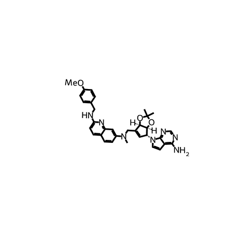 COc1ccc(CNc2ccc3ccc(N(C)CC4=C[C@@H](n5ccc6c(N)ncnc65)[C@@H]5OC(C)(C)O[C@H]45)cc3n2)cc1